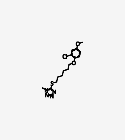 COc1ccc(OCCCCCCSc2nnnn2C)c(Cl)c1